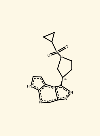 O=S(=O)(C1CC1)N1CC[C@@H](c2nnc3cnc4[nH]ccc4n23)C1